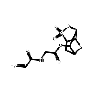 C=CC(=O)NCC(=O)OC1C2CC3C(S2)C1OS3(=O)=O